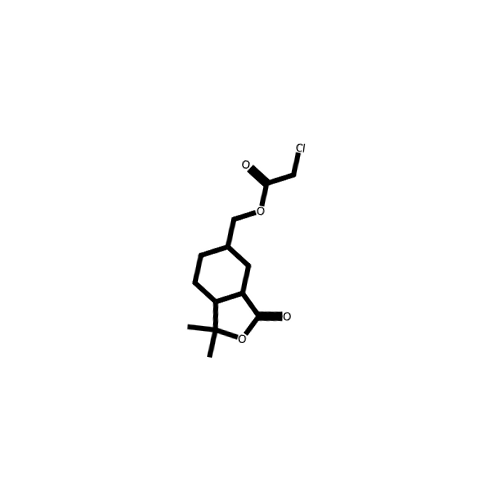 CC1(C)OC(=O)C2CC(COC(=O)CCl)CCC21